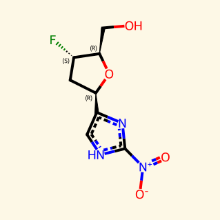 O=[N+]([O-])c1nc([C@H]2C[C@H](F)[C@@H](CO)O2)c[nH]1